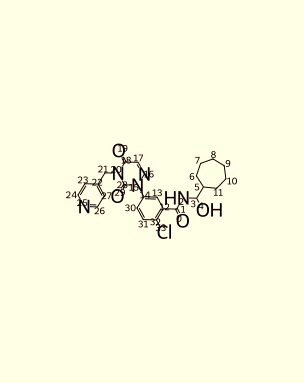 O=C(NC(O)C1CCCCCC1)c1cc(-n2ncc(=O)n(Cc3ccncc3)c2=O)ccc1Cl